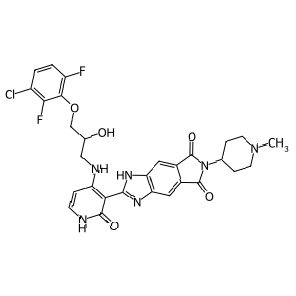 CN1CCC(N2C(=O)c3cc4nc(-c5c(NCC(O)COc6c(F)ccc(Cl)c6F)cc[nH]c5=O)[nH]c4cc3C2=O)CC1